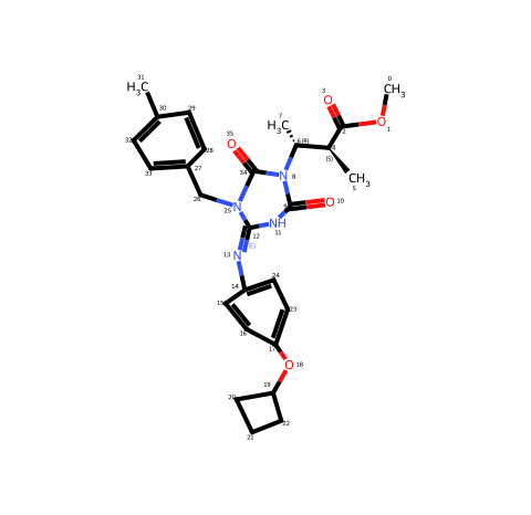 COC(=O)[C@@H](C)[C@@H](C)n1c(=O)[nH]/c(=N\c2ccc(OC3CCC3)cc2)n(Cc2ccc(C)cc2)c1=O